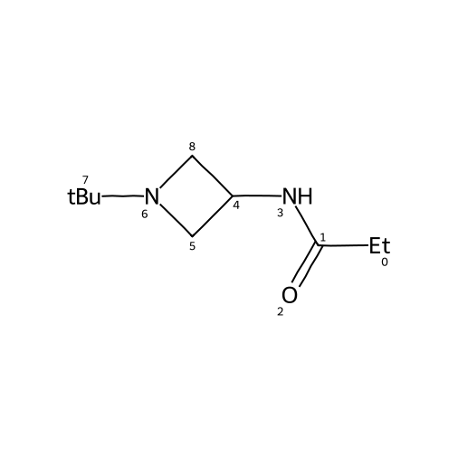 CCC(=O)NC1CN(C(C)(C)C)C1